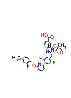 Cc1ccc(COc2cccc(-c3cc(F)c(Cc4nc5ccc(C(=O)O)cc5n4C4COCC4(C)C)cc3F)n2)c(F)c1